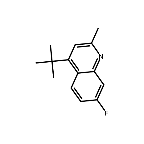 Cc1cc(C(C)(C)C)c2ccc(F)cc2n1